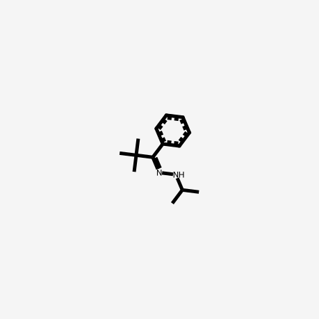 CC(C)N/N=C(\c1ccccc1)C(C)(C)C